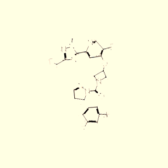 Cn1nc(CF)nc1-c1cc(OC2CN(C(=O)N3N=CC[C@H]3c3cc(F)cc(F)c3)C2)c(F)cn1